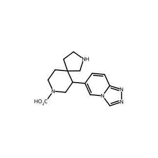 O=C(O)N1CCC2(CCNC2)C(c2ccc3nncn3c2)C1